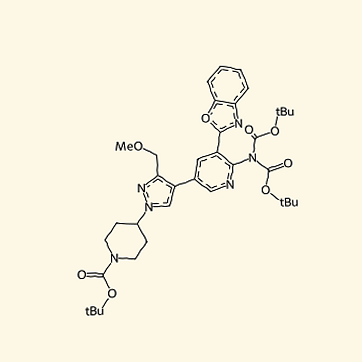 COCc1nn(C2CCN(C(=O)OC(C)(C)C)CC2)cc1-c1cnc(N(C(=O)OC(C)(C)C)C(=O)OC(C)(C)C)c(-c2nc3ccccc3o2)c1